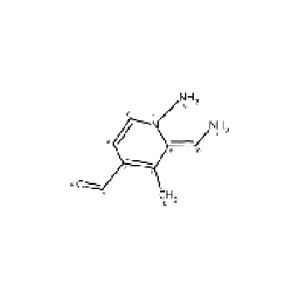 CC1=C(C=O)C=CN(N)/C1=C\N